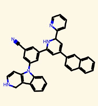 N#Cc1cc(C2=CC(c3ccc4ccccc4c3)=CC(c3ccccn3)N2)cc(-n2c3c(c4ccccc42)CNC=C3)c1